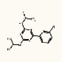 CC[C@H](Nc1nc(N[C@@H](CC)C(F)(F)F)nc(-c2cccc(Cl)n2)n1)C(F)(F)F